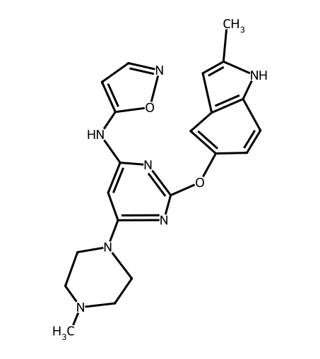 Cc1cc2cc(Oc3nc(Nc4ccno4)cc(N4CCN(C)CC4)n3)ccc2[nH]1